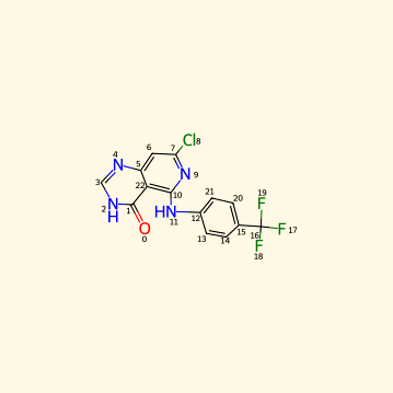 O=c1[nH]cnc2cc(Cl)nc(Nc3ccc(C(F)(F)F)cc3)c12